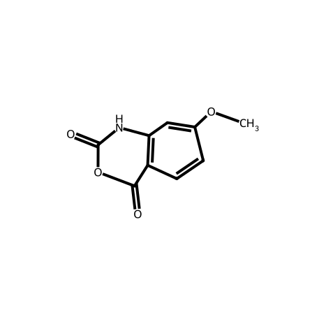 COc1ccc2c(=O)oc(=O)[nH]c2c1